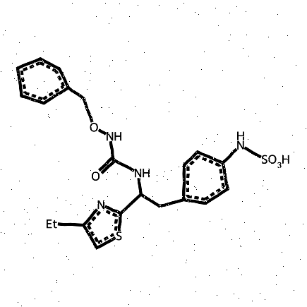 CCc1csc(C(Cc2ccc(NS(=O)(=O)O)cc2)NC(=O)NOCc2ccccc2)n1